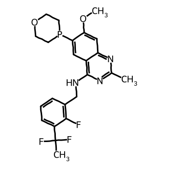 COc1cc2nc(C)nc(NCc3cccc(C(C)(F)F)c3F)c2cc1P1CCOCC1